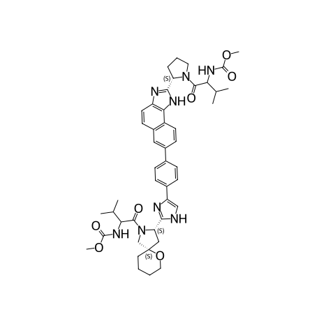 COC(=O)NC(C(=O)N1C[C@]2(CCCCO2)C[C@H]1c1nc(-c2ccc(-c3ccc4c(ccc5nc([C@@H]6CCCN6C(=O)C(NC(=O)OC)C(C)C)[nH]c54)c3)cc2)c[nH]1)C(C)C